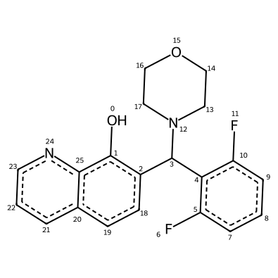 Oc1c(C(c2c(F)cccc2F)N2CCOCC2)ccc2cccnc12